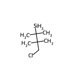 CC(C)([SiH3])C(C)(C)CCl